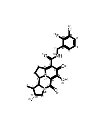 CC1C2C3CCc4c(C(=O)NCc5cccc(Cl)c5F)c(=O)c(O)c(n43)C(=O)N2C[C@@H]1C